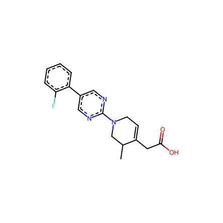 CC1CN(c2ncc(-c3ccccc3F)cn2)CC=C1CC(=O)O